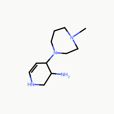 CN1CCCN(C2C=CNCC2N)CC1